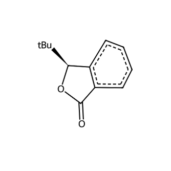 CC(C)(C)[C@@H]1OC(=O)c2ccccc21